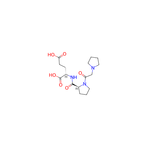 O=C(O)CC[C@H](NC(=O)[C@@H]1CCCN1C(=O)CN1CCCC1)C(=O)O